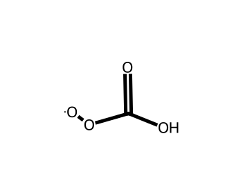 [O]OC(=O)O